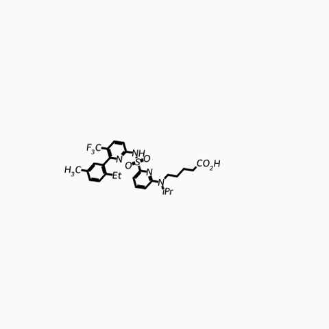 CCc1ccc(C)cc1-c1nc(NS(=O)(=O)c2cccc(N(CCCCC(=O)O)C(C)C)n2)ccc1C(F)(F)F